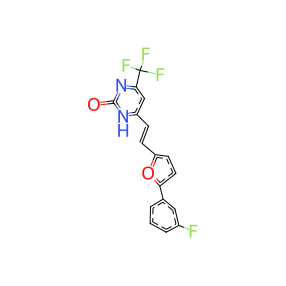 O=c1nc(C(F)(F)F)cc(C=Cc2ccc(-c3cccc(F)c3)o2)[nH]1